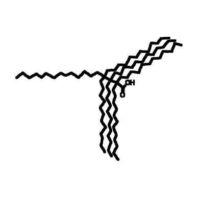 CCCCCCCCCCCCCCC(CCCCCCCCCCCC)(CCCCCCCCCCCC)C(CCCCCCCCCCCC)(CCCCCCCCCCCC)C(CCCCCCCCCCCC)(CCCCCCCCCCCC)C(=O)O